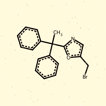 CC(c1ccccc1)(c1ccccc1)c1ncc(CBr)o1